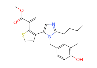 C=C(C(=O)OC)c1sccc1-c1cnc(CCCC)n1Cc1ccc(O)c(C)c1